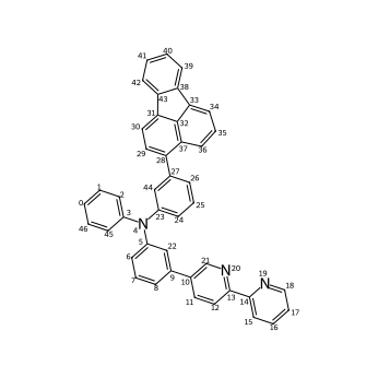 c1ccc(N(c2cccc(-c3ccc(-c4ccccn4)nc3)c2)c2cccc(-c3ccc4c5c(cccc35)-c3ccccc3-4)c2)cc1